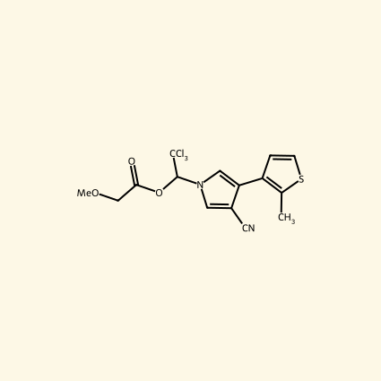 COCC(=O)OC(n1cc(C#N)c(-c2ccsc2C)c1)C(Cl)(Cl)Cl